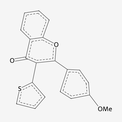 COc1ccc(-c2oc3ccccc3c(=O)c2-c2cccs2)cc1